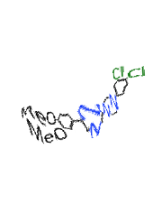 COc1ccc(-c2cncc(N3CCN(c4ccc(Cl)c(Cl)c4)CC3)n2)cc1OC